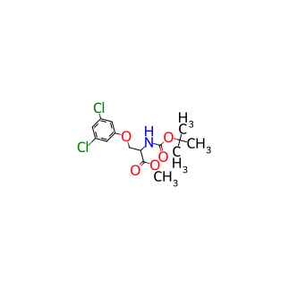 COC(=O)C(COc1cc(Cl)cc(Cl)c1)NC(=O)OC(C)(C)C